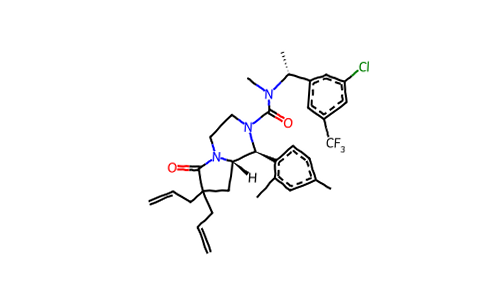 C=CCC1(CC=C)C[C@H]2[C@H](c3ccc(C)cc3C)N(C(=O)N(C)[C@H](C)c3cc(Cl)cc(C(F)(F)F)c3)CCN2C1=O